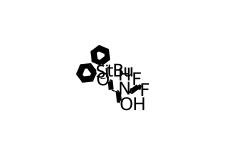 CC(C)(C)[Si](OCC[C@@H](CO)NCC(F)F)(c1ccccc1)c1ccccc1